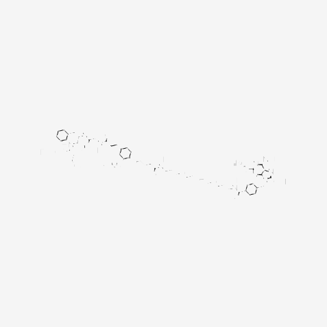 CCCCOc1nc(N)c2nc(O)n(Cc3ccc(C(=O)NCCCOCCOCCOCCCNC(=O)CCCOc4ccc(/C=C/C(=O)NCC(=O)NC(Cc5ccccc5)C(=O)NC(CCC(=O)OCC)C(=O)OCC)cc4OC)cc3)c2n1